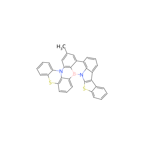 Cc1cc2c3c(c1)N1c4ccccc4Sc4cccc(c41)B3n1c3sc4ccccc4c3c3cccc-2c31